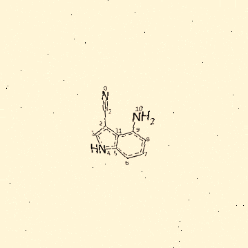 N#Cc1c[nH]c2cccc(N)c12